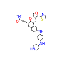 CN(C)C(=O)C#CC1=Cc2ccc(Nc3ccc(NC4CCNCC4)cc3)cc2C(Cc2ccoc2-c2nccs2)C1=O